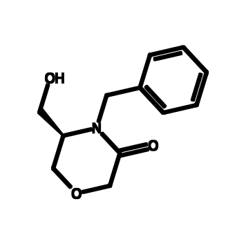 O=C1COC[C@@H](CO)N1Cc1ccccc1